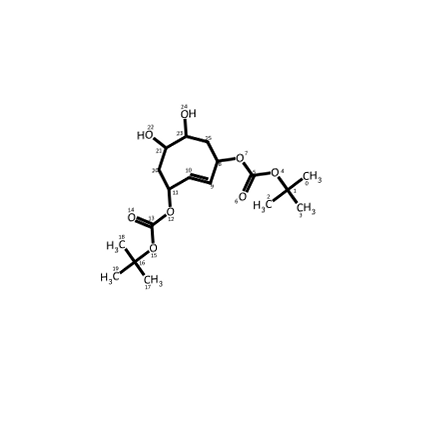 CC(C)(C)OC(=O)OC1/C=C/C(OC(=O)OC(C)(C)C)CC(O)C(O)C1